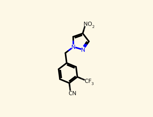 N#Cc1ccc(Cn2cc([N+](=O)[O-])cn2)cc1C(F)(F)F